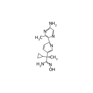 Cc1nc(N)cnc1-c1ccc([C@](C)(/C(N)=N/O)C2CC2)cn1